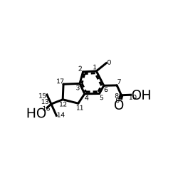 Cc1cc2c(cc1CC(=O)O)CC(C(C)(C)O)C2